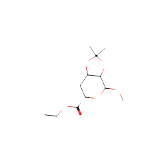 CCOC(=O)[C@H]1CC2OC(C)(C)OC2C(OC)O1